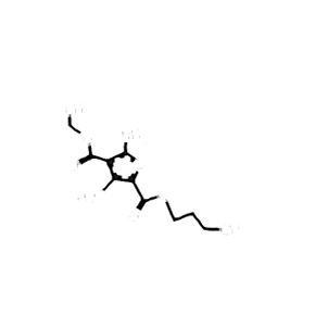 CCCCOC(=O)c1sc(N)c(C(=O)OCC)c1C